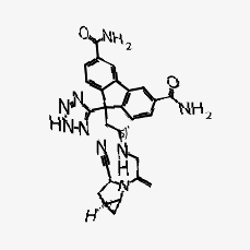 C=C(CN[C@@H](C)CC1(c2nn[nH]n2)c2ccc(C(N)=O)cc2-c2cc(C(N)=O)ccc21)N1C(C#N)C[C@@H]2CC21